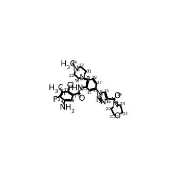 Cc1c(F)c(N)cc(C(=O)Nc2cc(-n3cc(C(=O)N4CCOCC4)nn3)ccc2N2CCN(C)CC2)c1Cl